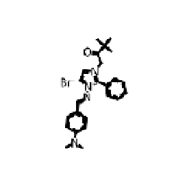 CN(C)c1ccc(C=N[n+]2ccn(CC(=O)C(C)(C)C)c2-c2ccccc2)cc1.[Br-]